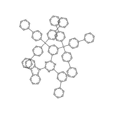 c1ccc(-c2ccc([Si](c3ccc(-c4ccccc4)cc3)(c3ccc(-c4ccccc4)cc3)c3cc(-c4nc(-c5cccc(-c6ccccc6)c5)nc(-n5c6ccccc6c6ccccc65)n4)cc([Si](c4ccc(-c5ccccc5)cc4)(c4ccc(-c5ccccc5)cc4)c4ccc(-c5ccccc5)cc4)c3)cc2)cc1